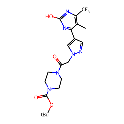 Cc1c(-c2cnn(CC(=O)N3CCN(C(=O)OC(C)(C)C)CC3)c2)nc(O)nc1C(F)(F)F